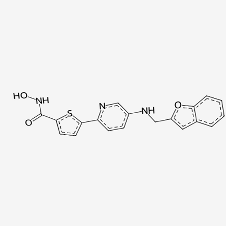 O=C(NO)c1ccc(-c2ccc(NCc3cc4ccccc4o3)cn2)s1